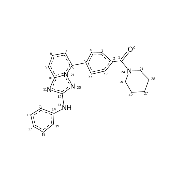 O=C(c1ccc(-c2cccc3nc(Nc4ccccc4)nn23)cc1)N1CCCCC1